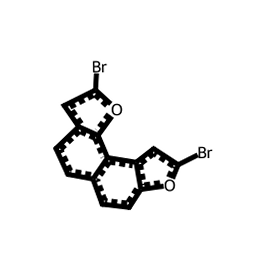 Brc1cc2c(ccc3ccc4cc(Br)oc4c32)o1